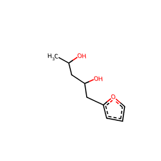 CC(O)CC(O)Cc1ccco1